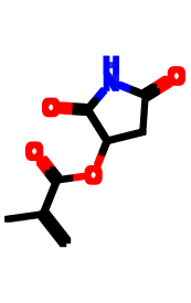 C=C(C)C(=O)OC1CC(=O)NC1=O